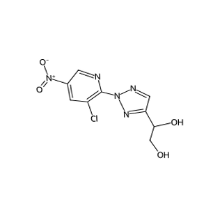 O=[N+]([O-])c1cnc(-n2ncc(C(O)CO)n2)c(Cl)c1